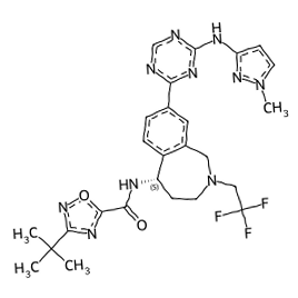 Cn1ccc(Nc2ncnc(-c3ccc4c(c3)CN(CC(F)(F)F)CC[C@@H]4NC(=O)c3nc(C(C)(C)C)no3)n2)n1